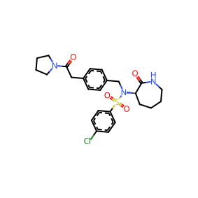 O=C1NCCCC[C@H]1N(Cc1ccc(CC(=O)N2CCCC2)cc1)S(=O)(=O)c1ccc(Cl)cc1